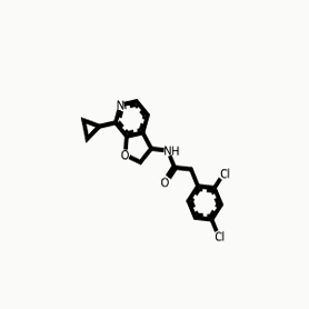 O=C(Cc1ccc(Cl)cc1Cl)NC1COc2c1ccnc2C1CC1